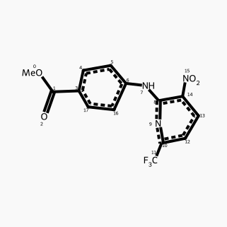 COC(=O)c1ccc(Nc2nc(C(F)(F)F)ccc2[N+](=O)[O-])cc1